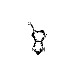 Cln1cnc2ncnc-2c1